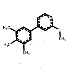 COc1cc(-c2cc(C)c(C)c(C)c2)ccn1